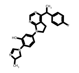 CC1CN(c2ccc(N3CCc4c(C(C)c5ccc(F)cc5)ncnc43)cc2O)C=N1